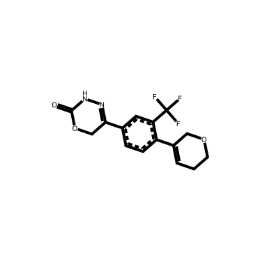 O=C1NN=C(c2ccc(C3=CCCOC3)c(C(F)(F)F)c2)CO1